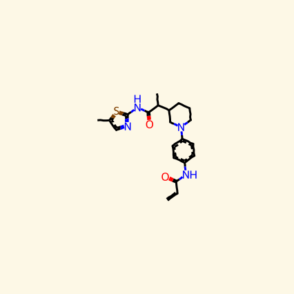 C=CC(=O)Nc1ccc(N2CCCC(C(C)C(=O)Nc3ncc(C)s3)C2)cc1